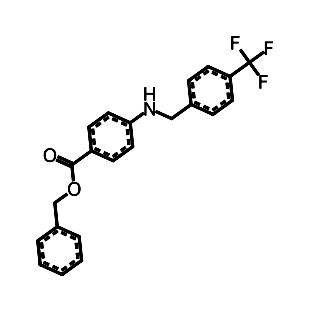 O=C(OCc1ccccc1)c1ccc(NCc2ccc(C(F)(F)F)cc2)cc1